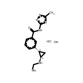 Cc1nnc(NC(=O)c2cccc([C@@H]3C[C@H]3NCC(C)(C)C)c2)s1.Cl.Cl